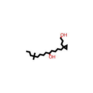 CCCC(C)(C)CCCCC(O)CCCCC1(CCCO)CC1